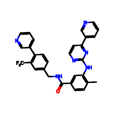 Cc1ccc(C(=O)NCc2ccc(-c3cccnc3)c(C(F)(F)F)c2)cc1Nc1nccc(-c2cccnc2)n1